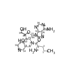 CCCC(N)C(=O)N(Cc1cccnc1)C1C(O)[C@@H](CO)O[C@H]1n1cnc2c(N)ncnc21